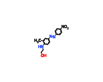 Cc1cc(N=Nc2ccc([N+](=O)[O-])cc2)ccc1NCCO